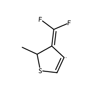 CC1SC=[C]C1=C(F)F